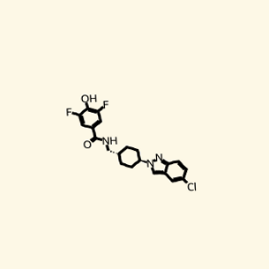 O=C(NC[C@H]1CC[C@H](n2cc3cc(Cl)ccc3n2)CC1)c1cc(F)c(O)c(F)c1